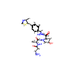 CC1N=CSC1c1ccc(CNC(=O)[C@H]2CC(O)CN2C(=O)C(NC(=O)CCN)C(C)(C)C)cc1